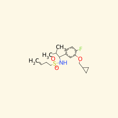 C=CCCS(=O)(=O)NC(c1ccc(F)c(OCC2CC2)c1)C(C)C